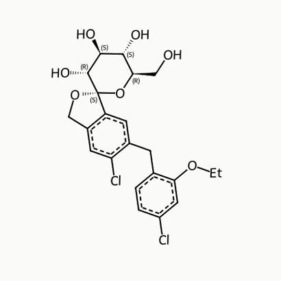 CCOc1cc(Cl)ccc1Cc1cc2c(cc1Cl)CO[C@]21O[C@H](CO)[C@@H](O)[C@H](O)[C@H]1O